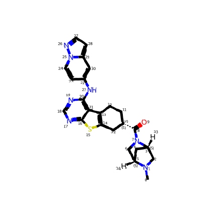 CN1C[C@@H]2C[C@H]1CN2C(=O)[C@H]1CCc2c(sc3ncnc(Nc4ccn5nccc5c4)c23)C1